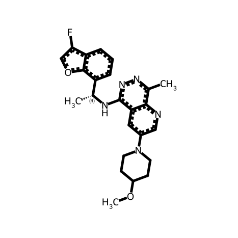 COC1CCN(c2cnc3c(C)nnc(N[C@H](C)c4cccc5c(F)coc45)c3c2)CC1